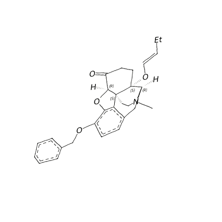 CCC=CO[C@@]12CCC(=O)[C@@H]3Oc4c(OCc5ccccc5)ccc5c4[C@@]31CCN(C)[C@@H]2C5